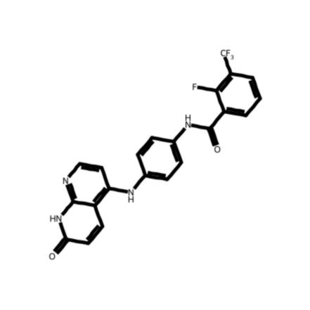 O=C(Nc1ccc(Nc2ccnc3[nH]c(=O)ccc23)cc1)c1cccc(C(F)(F)F)c1F